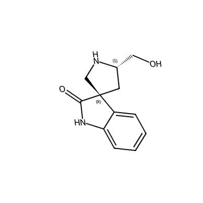 O=C1Nc2ccccc2[C@]12CN[C@H](CO)C2